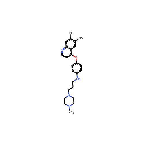 CCc1cc2nccc(Oc3ccc(NCCCN4CCN(C)CC4)cc3)c2cc1OC